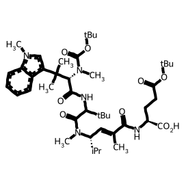 C/C(=C\[C@H](C(C)C)N(C)C(=O)C(NC(=O)[C@@H](N(C)C(=O)OC(C)(C)C)C(C)(C)c1cn(C)c2ccccc12)C(C)(C)C)C(=O)N[C@@H](CCC(=O)OC(C)(C)C)C(=O)O